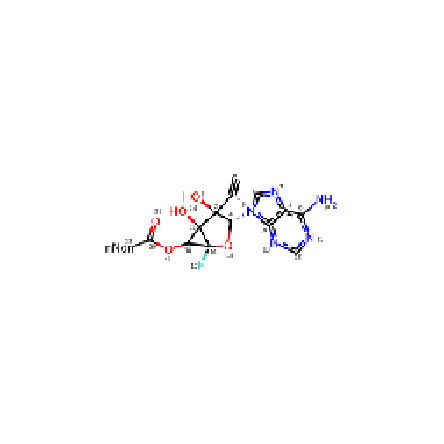 C#C[C@]1(O)[C@H](n2cnc3c(N)ncnc32)O[C@]2(F)C(OC(=O)CCCCCCCCC)[C@@]21O